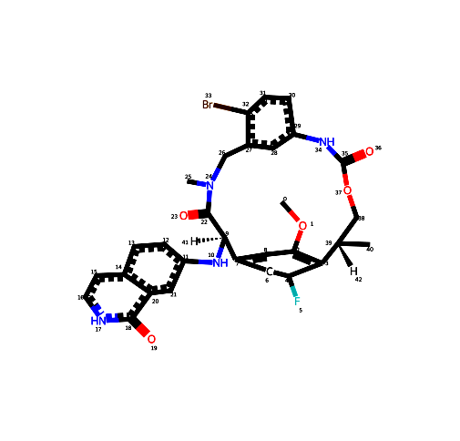 COC1=C2C(F)CC(=C1)[C@@H](Nc1ccc3cc[nH]c(=O)c3c1)C(=O)N(C)Cc1cc(ccc1Br)NC(=O)OC[C@@H]2C